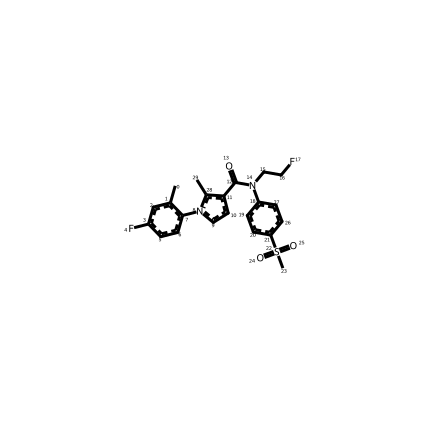 Cc1cc(F)ccc1-n1ccc(C(=O)N(CCF)c2ccc(S(C)(=O)=O)cc2)c1C